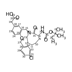 CC(C)(C)OC(=O)NC1CCCCCN(Cc2cc(CC(=O)O)ccc2OCc2ccc(Cl)cc2)C1=O